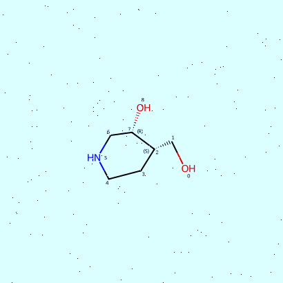 OC[C@@H]1CCNC[C@@H]1O